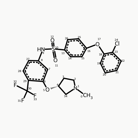 CN1CC[C@@H](Oc2cc(NS(=O)(=O)c3ccc(Oc4ccccc4Cl)cc3)ccc2C(F)(F)F)C1